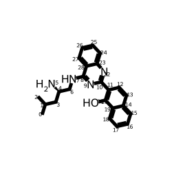 CC(C)C[C@@H](N)CNc1nc(-c2ccc3ccccc3c2O)nc2ccccc12